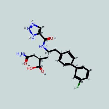 NC(=O)C[C@@H](C[C@@H](Cc1ccc(-c2cccc(F)c2)cc1)NC(=O)c1cnn[nH]1)C(=O)O